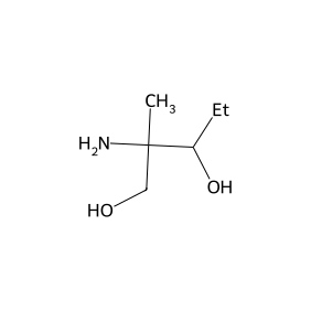 CCC(O)C(C)(N)CO